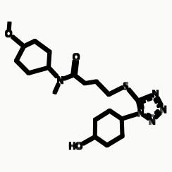 COC1CCC(N(C)C(=O)CCCSc2nnnn2C2CCC(O)CC2)CC1